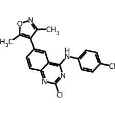 Cc1noc(C)c1-c1ccc2nc(Cl)nc(Nc3ccc(Cl)cc3)c2c1